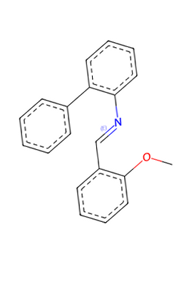 COc1ccccc1/C=N/c1ccccc1-c1ccccc1